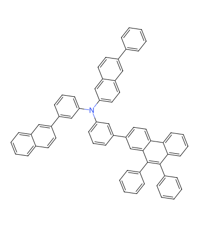 c1ccc(-c2ccc3cc(N(c4cccc(-c5ccc6ccccc6c5)c4)c4cccc(-c5ccc6c(c5)c(-c5ccccc5)c(-c5ccccc5)c5ccccc56)c4)ccc3c2)cc1